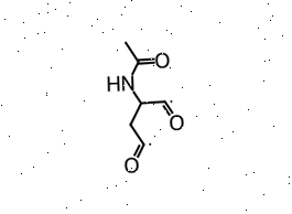 CC(=O)NC([C]=O)C[C]=O